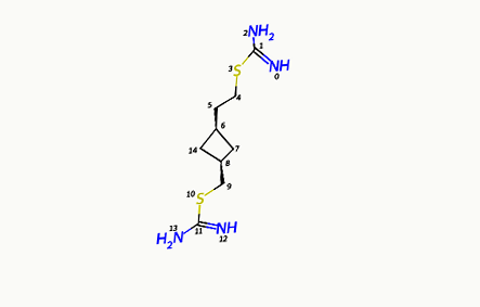 N=C(N)SCC[C@H]1C[C@@H](CSC(=N)N)C1